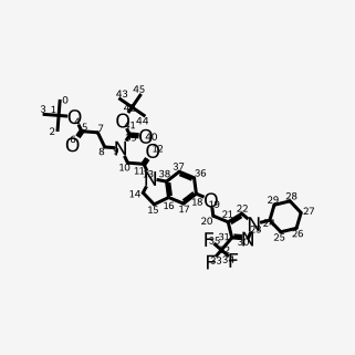 CC(C)(C)OC(=O)CCN(CC(=O)N1CCc2cc(OCc3cn(C4CCCCC4)nc3C(F)(F)F)ccc21)C(=O)OC(C)(C)C